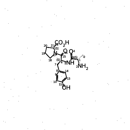 C[C@H](N)C(=O)N[C@@H](Cc1ccc(O)cc1)C(=O)N1CCC[C@H]1C(=O)O